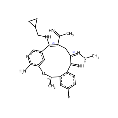 CN/N=C1/C/C(C(C)=N)=C(/NCC2CC2)c2cnc(N)c(c2)O[C@H](C)c2cc(F)ccc2C1=N